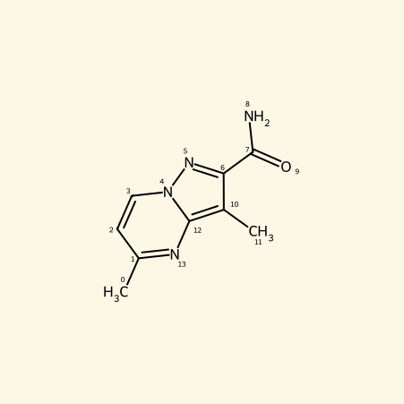 Cc1ccn2nc(C(N)=O)c(C)c2n1